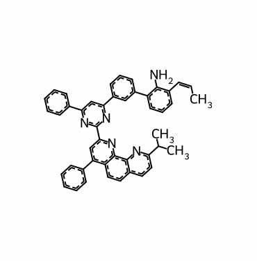 C/C=C\c1cccc(-c2cccc(-c3cc(-c4ccccc4)nc(-c4cc(-c5ccccc5)c5ccc6ccc(C(C)C)nc6c5n4)n3)c2)c1N